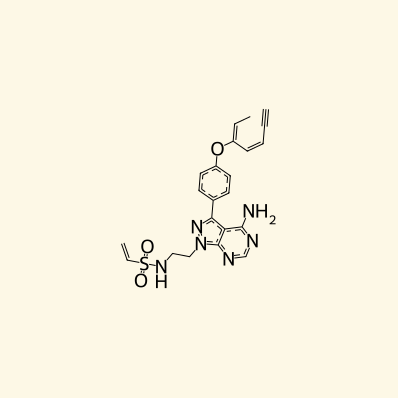 C#C/C=C\C(=C/C)Oc1ccc(-c2nn(CCNS(=O)(=O)C=C)c3ncnc(N)c23)cc1